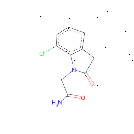 NC(=O)CN1C(=O)Cc2cccc(Cl)c21